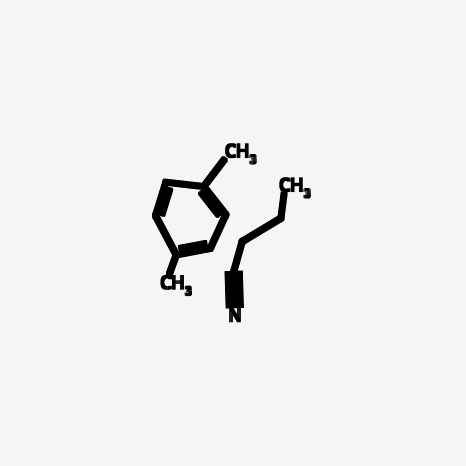 CCCC#N.Cc1ccc(C)cc1